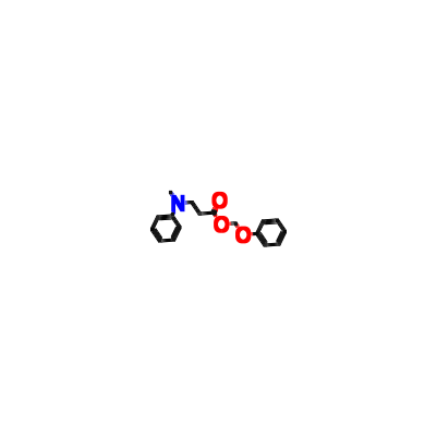 CN(CCC(=O)OCOc1ccccc1)c1ccccc1